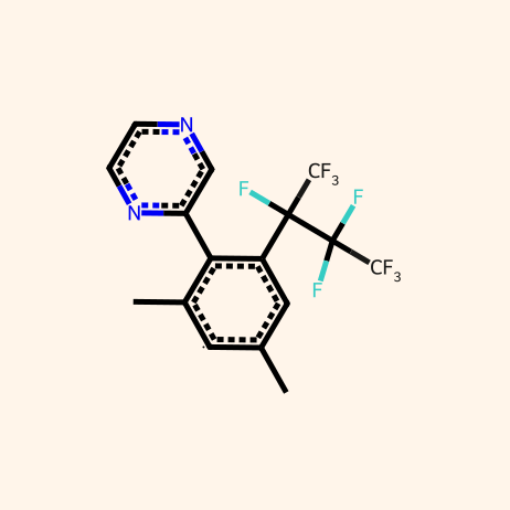 Cc1[c]c(C)c(-c2cnccn2)c(C(F)(C(F)(F)F)C(F)(F)C(F)(F)F)c1